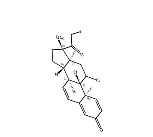 CC(=O)O[C@]1(C(=O)CI)CC[C@H]2[C@@H]3C=CC4=CC(=O)C=C[C@]4(C)[C@@]3(Cl)C(Cl)C[C@@]21C